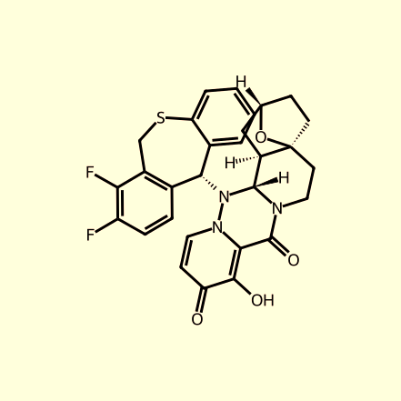 O=C1c2c(O)c(=O)ccn2N([C@H]2c3ccccc3SCc3c2ccc(F)c3F)[C@@H]2[C@H]3C[C@@H]4CC[C@@]3(CCN12)O4